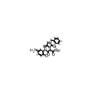 CC(C)(C)C(=O)C(C(=O)Nc1cc(N)ccc1Cl)N1C(=O)CN(Cc2ccccc2)C1=O